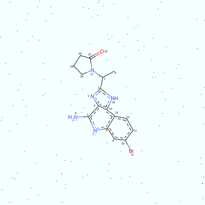 CC(c1nc2c(N)nc3cc(Br)ccc3c2[nH]1)N1CCCC1=O